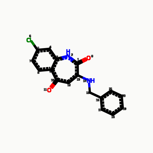 O=c1[nH]c2cc(Cl)ccc2c(=O)cc1NCc1ccccc1